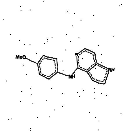 COc1ccc(Nc2nccc3[nH]ccc23)cc1